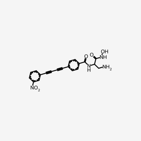 NCC(NC(=O)c1ccc(C#CC#Cc2cccc([N+](=O)[O-])c2)cc1)C(=O)NO